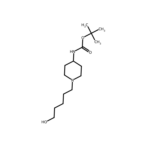 CC(C)(C)OC(=O)NC1CCN(CCCCCO)CC1